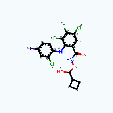 O=C(NOC(O)C1CCC1)c1cc(Cl)c(F)c(F)c1Nc1ccc(I)cc1Cl